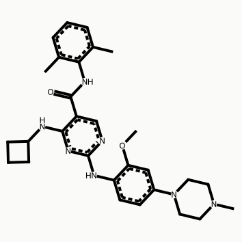 COc1cc(N2CCN(C)CC2)ccc1Nc1ncc(C(=O)Nc2c(C)cccc2C)c(NC2CCC2)n1